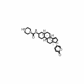 CN(C(=O)N1CCNCC1)C1CC[C@@]2(C)[C@H](CC[C@H]3C4=CC[C@H](c5ccc(=O)oc5)[C@@]4(C)CC[C@@H]32)C1